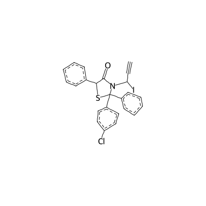 C#CC(I)N1C(=O)C(c2ccccc2)SC1(c1ccccc1)c1ccc(Cl)cc1